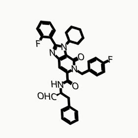 O=C[C@H](Cc1ccccc1)NC(=O)c1cc2nc(-c3ccccc3F)n(C3CCCCC3)c2c(=O)n1Cc1ccc(F)cc1